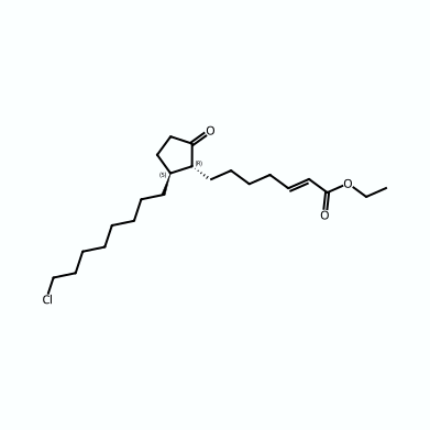 CCOC(=O)C=CCCCC[C@H]1C(=O)CC[C@@H]1CCCCCCCCCl